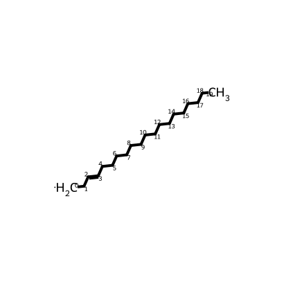 [CH2]C/C=C/CCCCCCCCCCCCCCCC